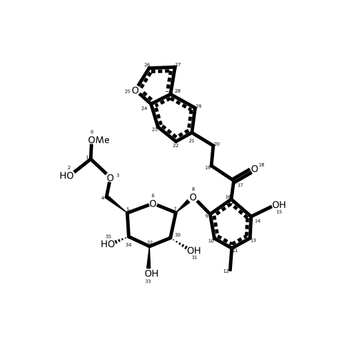 COC(O)OC[C@H]1O[C@@H](Oc2cc(C)cc(O)c2C(=O)CCc2ccc3occc3c2)[C@H](O)[C@@H](O)[C@@H]1O